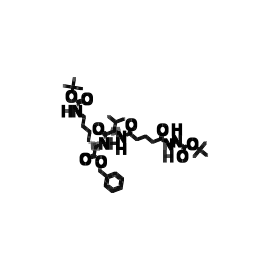 CC(C)[C@H](NC(=O)CCCC(=O)NNC(=O)OC(C)(C)C)C(=O)N[C@@H](CCCCNC(=O)OC(C)(C)C)C(=O)OCc1ccccc1